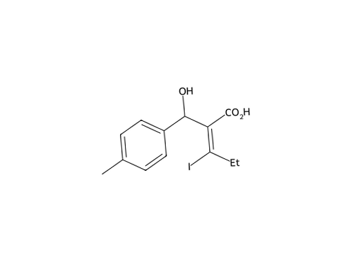 CCC(I)=C(C(=O)O)C(O)c1ccc(C)cc1